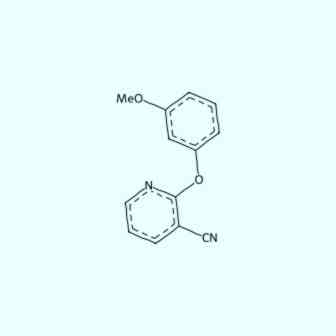 COc1cccc(Oc2ncccc2C#N)c1